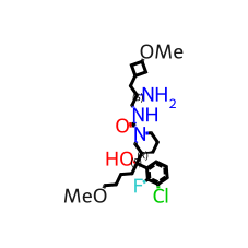 COCCCC[C@@](O)(c1cccc(Cl)c1F)[C@@H]1CCCN(C(=O)NC[C@@H](N)CC2CC(OC)C2)C1